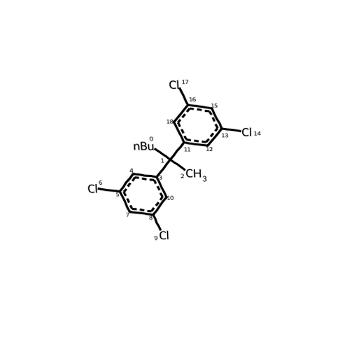 CCCCC(C)(c1cc(Cl)cc(Cl)c1)c1cc(Cl)cc(Cl)c1